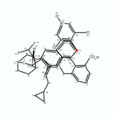 O=C(O)c1cccc(CN(C(=O)O[C@H]2CN3CCC2CC3)c2ccccc2)c1[C@@H](Cc1c(Cl)c[n+]([O-])cc1Cl)c1ccc(OC(F)F)c(OCC2CC2)c1